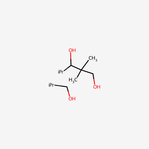 CC(C)C(O)C(C)(C)CO.CC(C)CO